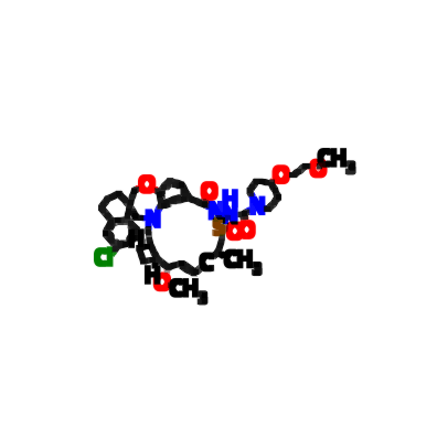 COCCOC1CCN(C(=O)N[S@@]2(=O)=NC(=O)c3ccc4c(c3)N(C[C@@H]3CC[C@H]3[C@@H](OC)/C=C/C[C@H](C)C2)C[C@@]2(CCCc3cc(Cl)ccc32)CO4)CC1